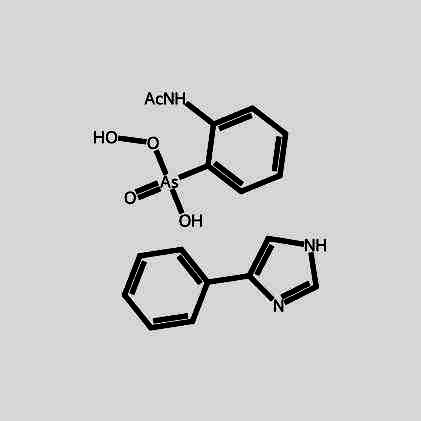 CC(=O)Nc1ccccc1[As](=O)(O)OO.c1ccc(-c2c[nH]cn2)cc1